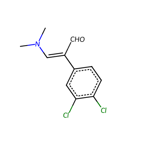 CN(C)C=C(C=O)c1ccc(Cl)c(Cl)c1